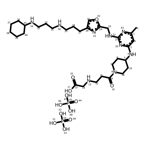 Cc1cc(NC2CCN(C(=O)CCNCC(=O)O)CC2)nc(NCc2nc(CCCNCCCNC3CCCCC3)co2)n1.O=P(O)(O)O.O=P(O)(O)O